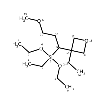 CCO[Si](CC)(OCC)C(CCOC)C1(CC)COC1